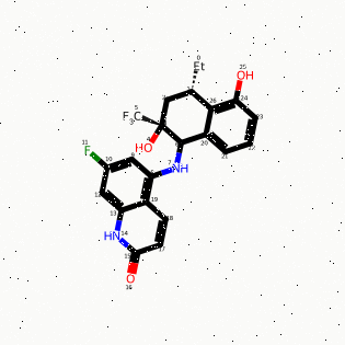 CC[C@H]1C[C@](O)(C(F)(F)F)C(Nc2cc(F)cc3[nH]c(=O)ccc23)c2cccc(O)c21